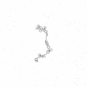 O=C(/C=C/c1cccnc1)NCCCCC1CCN(C(=O)c2ccc(N3CCN(CCCCCSc4ccc5c(c4)CN(C4CCC(=O)NC4=O)C5=O)CC3)cc2)CC1